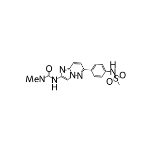 CNC(=O)Nc1cn2nc(-c3ccc(NS(C)(=O)=O)cc3)ccc2n1